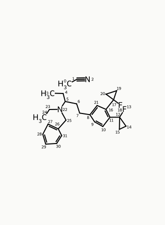 CC#N.CCC(CCc1ccc(C2(F)CC2)c(C2(F)CC2)c1)N(CC)Cc1ccccc1